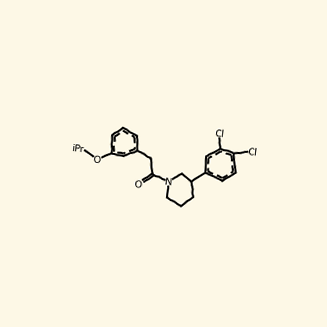 CC(C)Oc1cccc(CC(=O)N2CCCC(c3ccc(Cl)c(Cl)c3)C2)c1